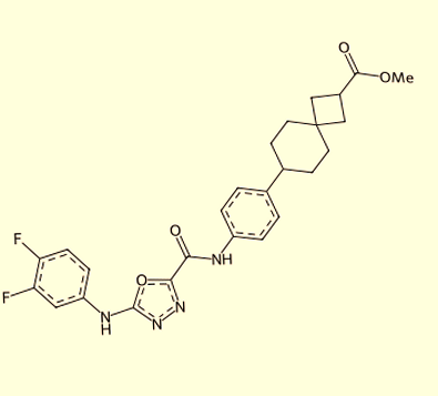 COC(=O)C1CC2(CCC(c3ccc(NC(=O)c4nnc(Nc5ccc(F)c(F)c5)o4)cc3)CC2)C1